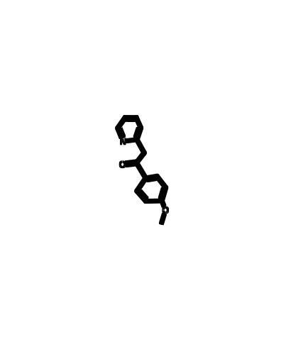 COc1ccc(C(=O)Cc2ccccn2)cc1